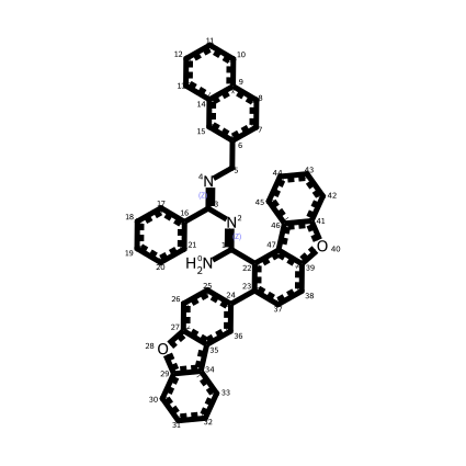 N/C(=N\C(=N/Cc1ccc2ccccc2c1)c1ccccc1)c1c(-c2ccc3oc4ccccc4c3c2)ccc2oc3ccccc3c12